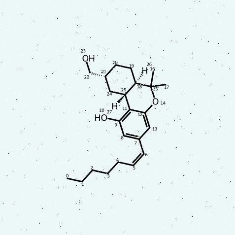 CCCCC/C=C\c1cc(O)c2c(c1)OC(C)(C)[C@@H]1CC[C@@H](CO)C[C@@H]21